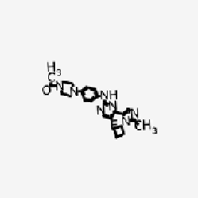 CC(=O)N1CCN(c2ccc(Nc3ncc(F)c(-c4cnc(C)n4C4CCC4)n3)cc2)CC1